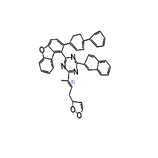 C/C(=C\CC1C=COO1)c1nc(-c2ccc3ccccc3c2)nc(-c2c(C3=CC=C(c4ccccc4)CC3)ccc3oc4ccccc4c23)n1